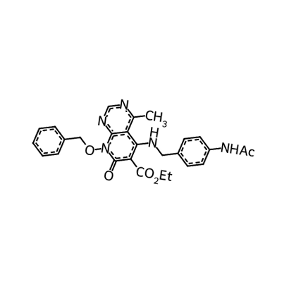 CCOC(=O)c1c(NCc2ccc(NC(C)=O)cc2)c2c(C)ncnc2n(OCc2ccccc2)c1=O